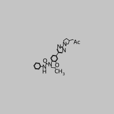 CC(=O)CC1CCN(c2ncc(-c3ccc4c(c3)OC(C)CN4C(=O)Nc3ccccc3)cn2)C1